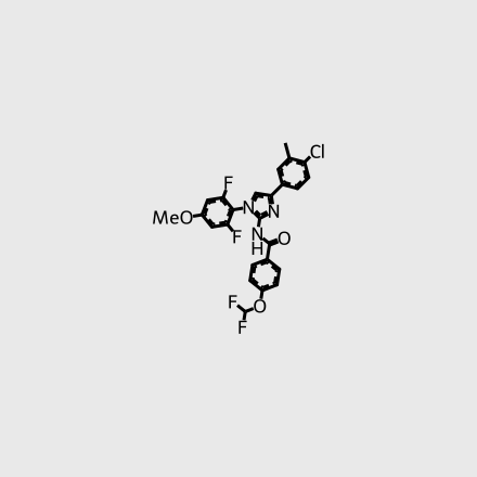 COc1cc(F)c(-n2cc(-c3ccc(Cl)c(C)c3)nc2NC(=O)c2ccc(OC(F)F)cc2)c(F)c1